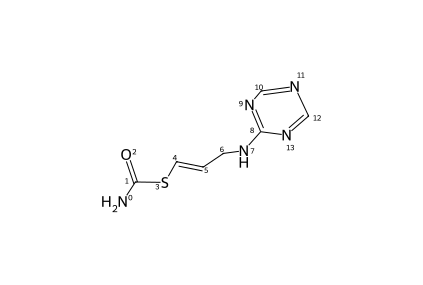 NC(=O)SC=CCNc1ncncn1